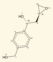 OCc1ccc([C@H](O)C[C@H]2CO2)cc1